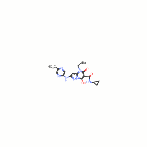 CC(C)(C)Cn1c(=O)c(C(=O)NC2CC2)c(O)n2nc(Nc3cnc(C(=O)O)cn3)cc12